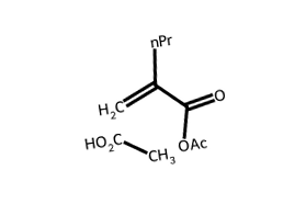 C=C(CCC)C(=O)OC(C)=O.CC(=O)O